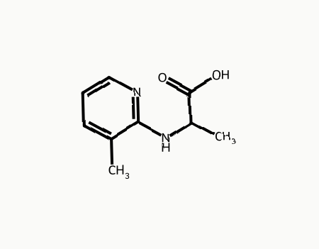 Cc1cccnc1NC(C)C(=O)O